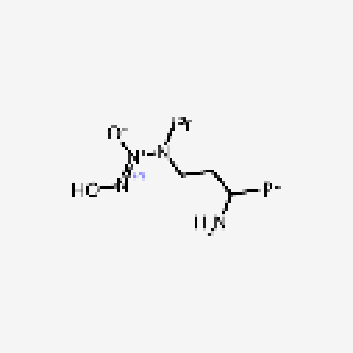 CC(C)C(N)CCN(C(C)C)/[N+]([O-])=N/O